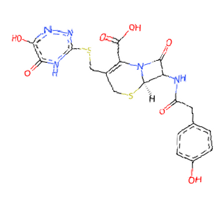 O=C(Cc1ccc(O)cc1)NC1C(=O)N2C(C(=O)O)=C(CSc3nnc(O)c(=O)[nH]3)CS[C@H]12